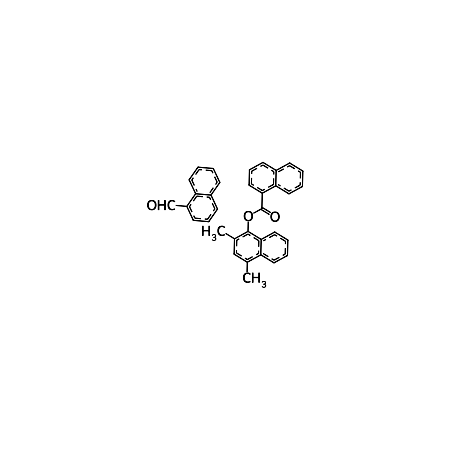 Cc1cc(C)c2ccccc2c1OC(=O)c1cccc2ccccc12.O=Cc1cccc2ccccc12